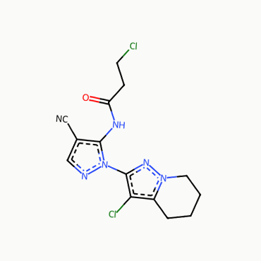 N#Cc1cnn(-c2nn3c(c2Cl)CCCC3)c1NC(=O)CCCl